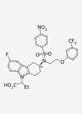 CCC(C(=O)O)n1c2c(c3cc(F)ccc31)C[C@@H](N(CCOc1cccc(C(F)(F)F)c1)S(=O)(=O)c1ccc([N+](=O)[O-])cc1)CC2